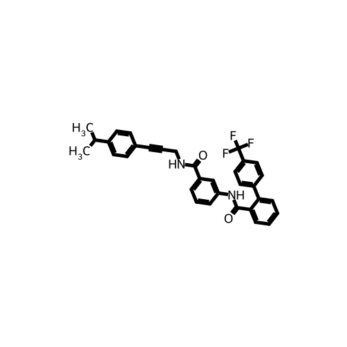 CC(C)c1ccc(C#CCNC(=O)c2cccc(NC(=O)c3ccccc3-c3ccc(C(F)(F)F)cc3)c2)cc1